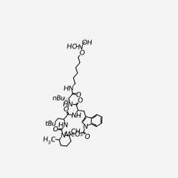 CCCC[C@@H](NC(=O)C(Cc1cn(C(=O)OC)c2ccccc12)NC(=O)C(CC(C)(C)C)NC(=O)N1C(C)CCCC1C)C(=O)NCCCCCCON(O)O